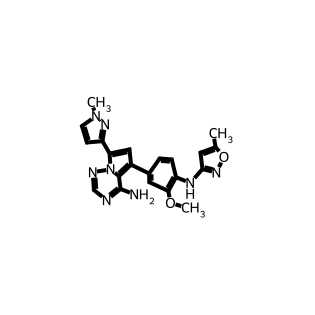 COc1cc(-c2cc(-c3ccn(C)n3)n3ncnc(N)c23)ccc1Nc1cc(C)on1